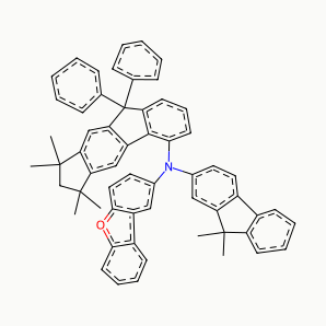 CC1(C)CC(C)(C)c2cc3c(cc21)-c1c(N(c2ccc4c(c2)C(C)(C)c2ccccc2-4)c2ccc4oc5ccccc5c4c2)cccc1C3(c1ccccc1)c1ccccc1